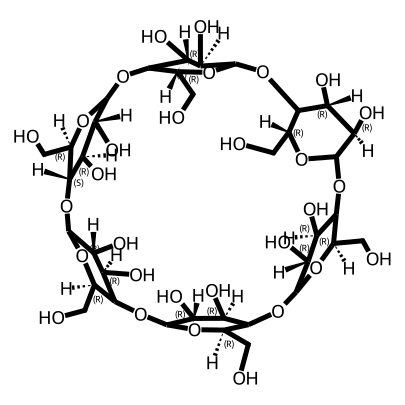 OC[C@H]1OC2OC3[C@@H](CO)OC(OC4[C@@H](CO)OC(OC5[C@@H](CO)OC(OC6[C@@H](CO)OC(O[C@H]7[C@H](O)[C@@H](O)C(OC1[C@H](O)[C@H]2O)O[C@@H]7CO)[C@H](O)[C@H]6O)[C@H](O)[C@H]5O)[C@H](O)[C@H]4O)[C@H](O)[C@H]3O